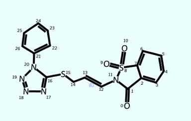 O=C1c2ccccc2S(=O)(=O)N1/C=C/CSc1nnnn1-c1ccccc1